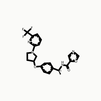 C[C@H](NC(=O)c1cnco1)c1ccc(OC2CCN(c3cccc(C(F)(F)F)n3)C2)cc1